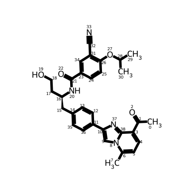 CC(=O)c1ccc(C)n2cc(-c3ccc(C[C@@H](CCO)NC(=O)c4ccc(OC(C)C)c(C#N)c4)cc3)nc12